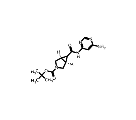 CC(C)(C)OC(=O)N1C[C@@H]2C(C(=O)Nc3cc(N)ncn3)[C@@H]2C1